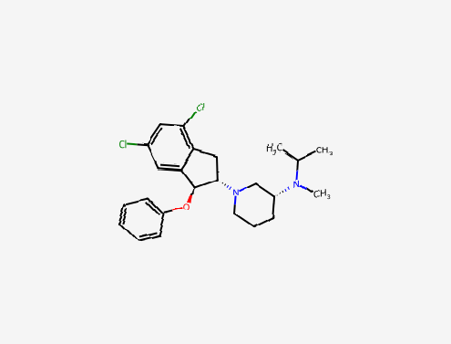 CC(C)N(C)[C@@H]1CCCN([C@H]2Cc3c(Cl)cc(Cl)cc3[C@@H]2Oc2ccccc2)C1